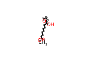 COC(=O)CCCCCCCC(O)C1CCCO1